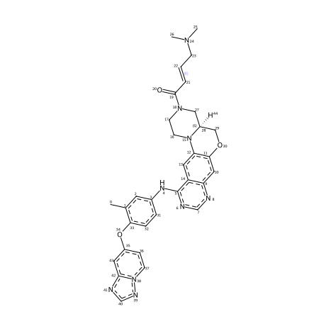 Cc1cc(Nc2ncnc3cc4c(cc23)N2CCN(C(=O)/C=C/CN(C)C)C[C@H]2CO4)ccc1Oc1ccn2ncnc2c1